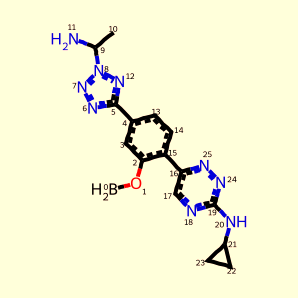 BOc1cc(-c2nnn(C(C)N)n2)ccc1-c1cnc(NC2CC2)nn1